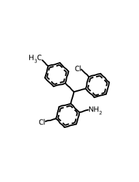 Cc1ccc(C(c2cc(Cl)ccc2N)c2ccccc2Cl)cc1